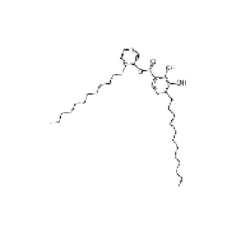 CCCCCCCCCCCCc1ccccc1OC(=O)c1ccc(CCCCCCCCCCCC)c(O)c1O